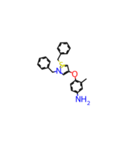 Cc1cc(N)ccc1OC1=CN(Cc2ccccc2)S(Cc2ccccc2)=C1